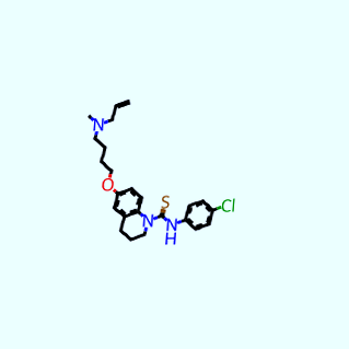 C=CCN(C)CCCCOc1ccc2c(c1)CCCN2C(=S)Nc1ccc(Cl)cc1